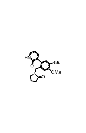 COc1cc(CN2CCCC2=O)c(-c2ccc[nH]c2=O)cc1C(C)(C)C